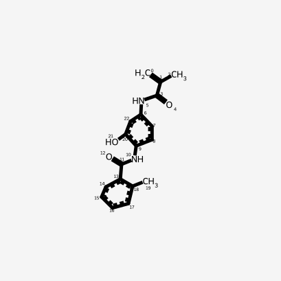 C=C(C)C(=O)Nc1ccc(NC(=O)c2ccccc2C)c(O)c1